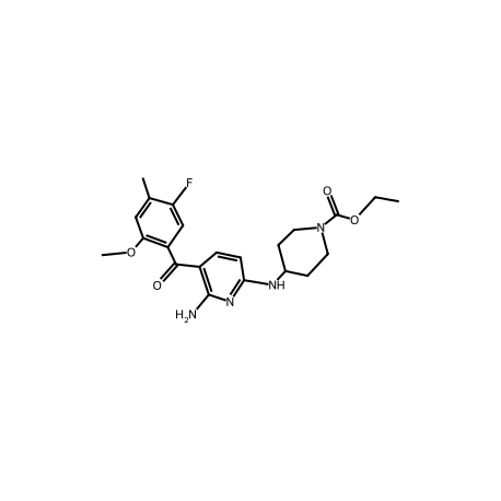 CCOC(=O)N1CCC(Nc2ccc(C(=O)c3cc(F)c(C)cc3OC)c(N)n2)CC1